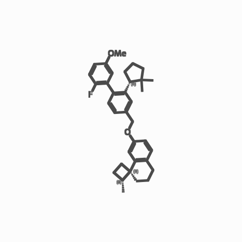 COc1ccc(F)c(-c2ccc(COc3ccc4c(c3)[C@]3(CCC4)CC[C@H]3C)cc2[C@@H]2CCCC2(C)C)c1